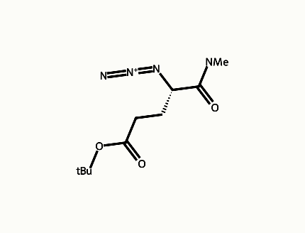 CNC(=O)[C@H](CCC(=O)OC(C)(C)C)N=[N+]=[N-]